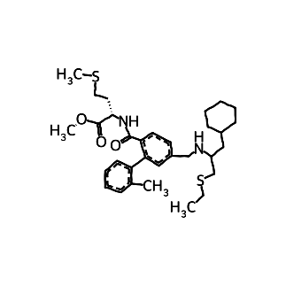 CCSCC(CC1CCCCC1)NCc1ccc(C(=O)N[C@@H](CCSC)C(=O)OC)c(-c2ccccc2C)c1